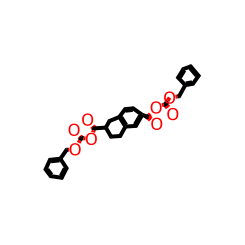 O=C(OCc1ccccc1)OC(=O)c1ccc2c(c1)CCC(C(=O)OC(=O)OCc1ccccc1)C2